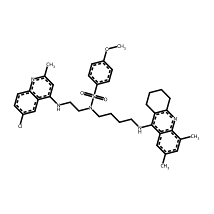 COc1ccc(S(=O)(=O)N(CCCCNc2c3c(nc4c(C)cc(C)cc24)CCCC3)CCNc2cc(C)nc3ccc(Cl)cc23)cc1